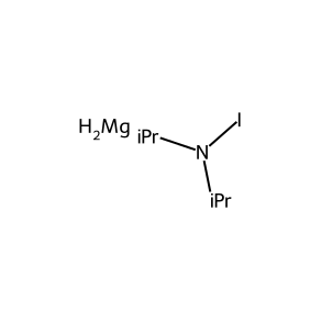 CC(C)N(I)C(C)C.[MgH2]